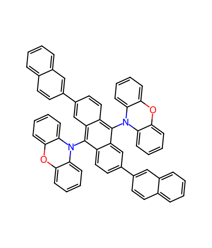 c1ccc2c(c1)Oc1ccccc1N2c1c2ccc(-c3ccc4ccccc4c3)cc2c(N2c3ccccc3Oc3ccccc32)c2ccc(-c3ccc4ccccc4c3)cc12